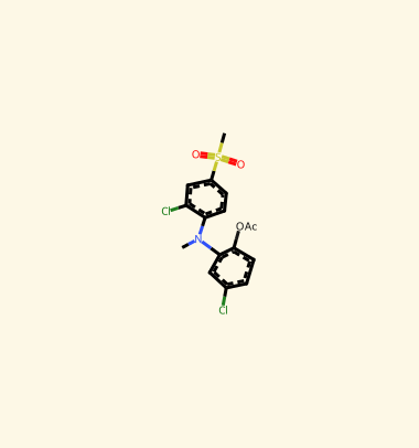 CC(=O)Oc1ccc(Cl)cc1N(C)c1ccc(S(C)(=O)=O)cc1Cl